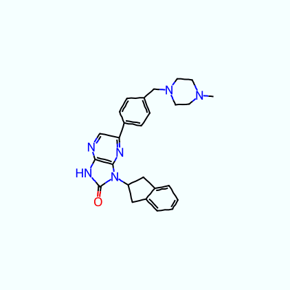 CN1CCN(Cc2ccc(-c3cnc4[nH]c(=O)n(C5Cc6ccccc6C5)c4n3)cc2)CC1